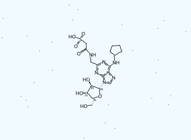 O=C(CS(=O)(=O)O)NCc1nc(NC2CCCC2)c2ncn([C@@H]3O[C@H](CO)[C@@H](O)[C@H]3O)c2n1